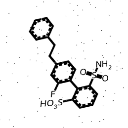 NS(=O)(=O)c1cccc(S(=O)(=O)O)c1-c1ccc(CCc2ccccc2)cc1F